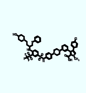 Cn1cc(-c2ccc(Cl)cc2)c(-c2cccc(N3CCN(c4ccc(NS(=O)(=O)c5ccc(NC(CCN6CCC(O)CC6)CSc6ccccc6)c(S(=O)(=O)C(F)(F)F)c5)cc4)CC3)c2)c1C(=O)O